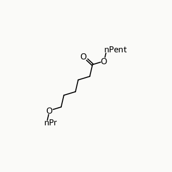 CCCCCOC(=O)CCCCCOCCC